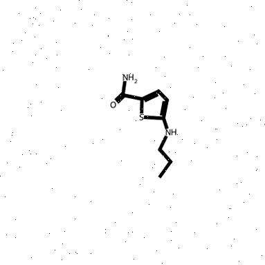 CCCNc1ccc(C(N)=O)s1